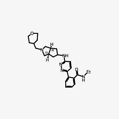 CCNC(=O)c1ccccc1-c1ccc(NC2C[C@@H]3CN(CC4CCOCC4)C[C@@H]3C2)nn1